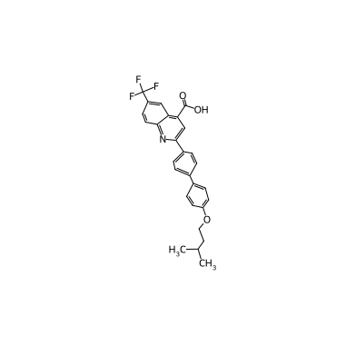 CC(C)CCOc1ccc(-c2ccc(-c3cc(C(=O)O)c4cc(C(F)(F)F)ccc4n3)cc2)cc1